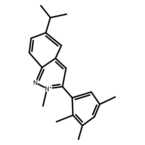 Cc1cc(C)c(C)c(-c2cc3cc(C(C)C)ccc3n[n+]2C)c1